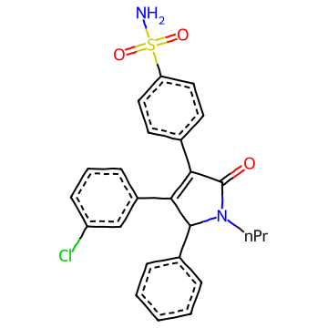 CCCN1C(=O)C(c2ccc(S(N)(=O)=O)cc2)=C(c2cccc(Cl)c2)C1c1ccccc1